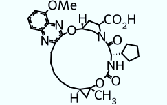 COc1cccc2nc3c(nc12)O[C@@H]1C[C@@H](C(=O)O)N(C1)C(=O)[C@H](C1CCCC1)NC(=O)O[C@]1(C)C[C@H]1CCCCC3